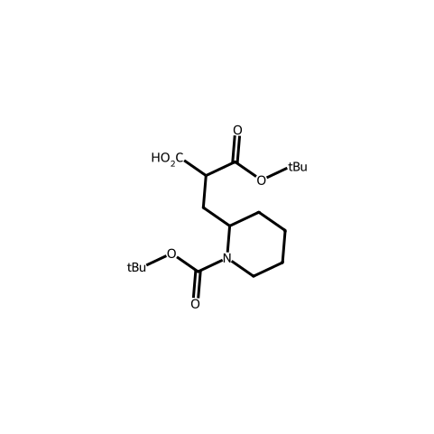 CC(C)(C)OC(=O)C(CC1CCCCN1C(=O)OC(C)(C)C)C(=O)O